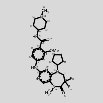 COc1cc(Nc2ncc3c(n2)N(C2CCCC2)CC(F)(F)C(=O)N3C)ccc1C(=O)NC1CCN(C)CC1